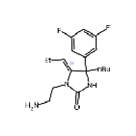 CC/C=C1\N(CCN)C(=O)NC1(CCCC)c1cc(F)cc(F)c1